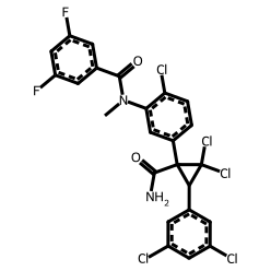 CN(C(=O)c1cc(F)cc(F)c1)c1cc(C2(C(N)=O)C(c3cc(Cl)cc(Cl)c3)C2(Cl)Cl)ccc1Cl